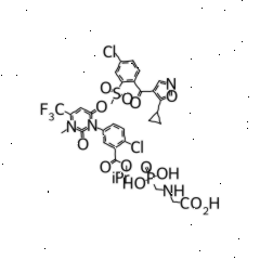 CC(C)OC(=O)c1cc(-n2c(=O)cc(C(F)(F)F)n(C)c2=O)ccc1Cl.CS(=O)(=O)c1cc(Cl)ccc1C(=O)c1cnoc1C1CC1.O=C(O)CNCP(=O)(O)O